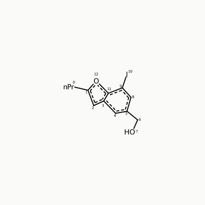 CCCc1cc2cc(CO)cc(I)c2o1